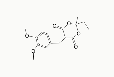 CCC1(C)OC(=O)C(Cc2ccc(OC)c(OC)c2)C(=O)O1